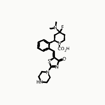 CN(C)C1(F)CCN(C(=O)O)C(c2ccccc2/C=C2\SC(N3CCNCC3)=NC2=O)C1